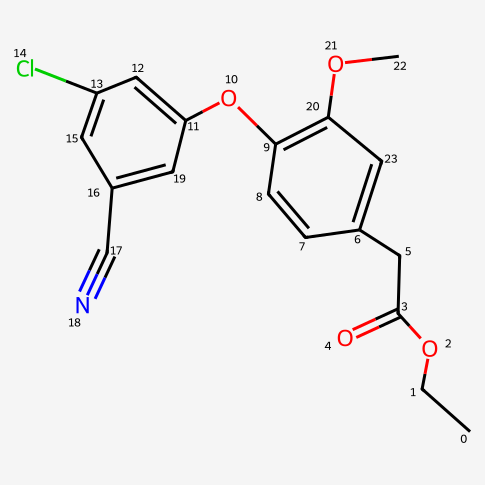 CCOC(=O)Cc1ccc(Oc2cc(Cl)cc(C#N)c2)c(OC)c1